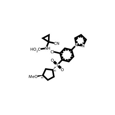 CO[C@@H]1CC[C@@H](S(=O)(=O)c2ccc(-n3cccn3)cc2Cl)C1.N#CC1(NC(=O)O)CC1